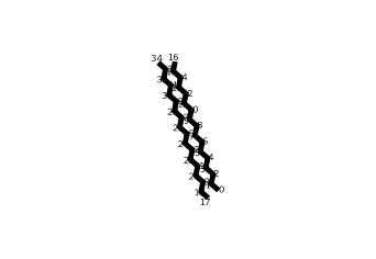 CCCCCCCCCCCCCCCCC.CCCCCCCCCCCCCCCCCC